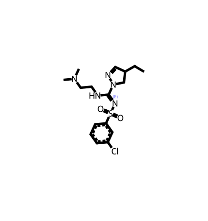 CCC1C=NN(/C(=N/S(=O)(=O)c2cccc(Cl)c2)NCCN(C)C)C1